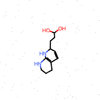 OC(O)CCC1C=CC2=C(NCCC2)N1